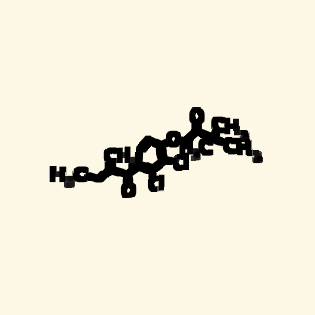 C=C(CC)C(=O)c1ccc(OCC(=O)C(C)(C)C)c(Cl)c1Cl